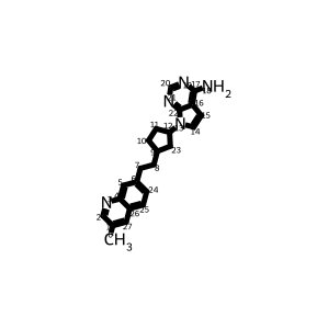 Cc1cnc2cc(CCC3CCC(n4ccc5c(N)ncnc54)C3)ccc2c1